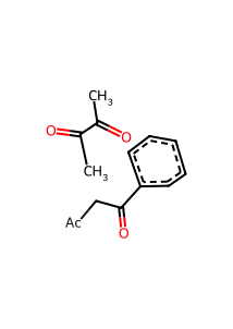 CC(=O)C(C)=O.CC(=O)CC(=O)c1ccccc1